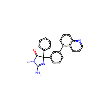 CN1C(=O)C(c2ccccc2)(c2cccc(-c3cccc4ncccc34)c2)N=C1N